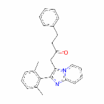 Cc1cccc(C)c1-c1nc2ccccn2c1CC(=O)CCc1ccccc1